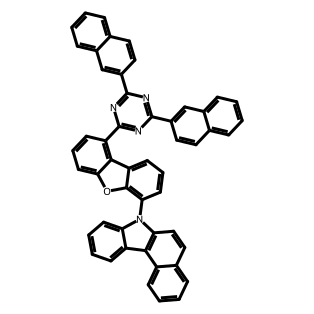 c1ccc2cc(-c3nc(-c4ccc5ccccc5c4)nc(-c4cccc5oc6c(-n7c8ccccc8c8c9ccccc9ccc87)cccc6c45)n3)ccc2c1